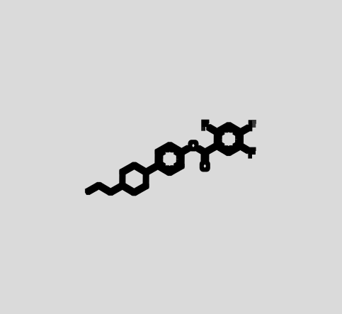 CCCC1CCC(c2ccc(OC(=O)c3cc(F)c(F)cc3F)cc2)CC1